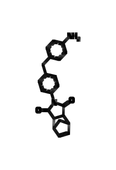 Nc1ccc(Cc2ccc(N3C(=O)C4C5C=CC(C5)C4C3=O)cc2)cc1